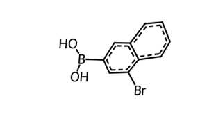 OB(O)c1cc(Br)c2ccccc2c1